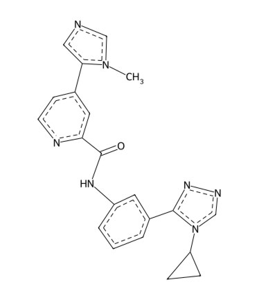 Cn1cncc1-c1ccnc(C(=O)Nc2cccc(-c3nncn3C3CC3)c2)c1